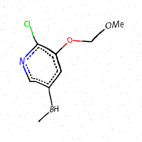 CBc1cnc(Cl)c(OCOC)c1